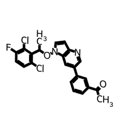 CC(=O)c1cccc(-c2cnc3ccn(OC(C)c4c(Cl)ccc(F)c4Cl)c3c2)c1